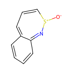 [O-][S+]1C=CC=c2ccccc2=N1